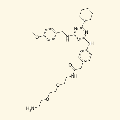 COc1ccc(CNc2nc(Nc3ccc(CC(=O)NCCOCCOCCN)cc3)nc(N3CCCCC3)n2)cc1